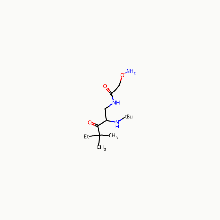 CCC(C)(C)C(=O)C(CNC(=O)CON)NC(C)(C)C